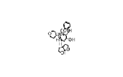 O=C(O)N[C@@H](Cc1ccccc1)[C@@H](O)C(NOC1CCOCC1)[C@@H]1CO[C@H]2OCC[C@H]21